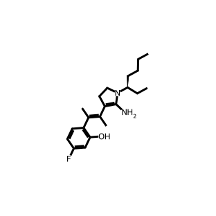 CCCC[C@@H](CC)N1CCC(/C(C)=C(\C)c2ccc(F)cc2O)=C1N